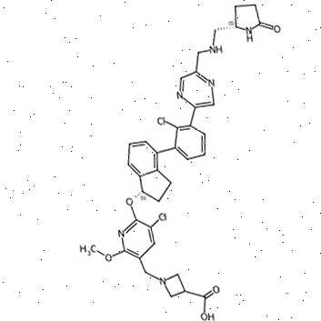 COc1nc(O[C@H]2CCc3c(-c4cccc(-c5cnc(CNC[C@@H]6CCC(=O)N6)cn5)c4Cl)cccc32)c(Cl)cc1CN1CC(C(=O)O)C1